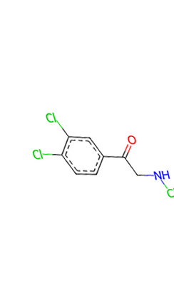 O=C(CNCl)c1ccc(Cl)c(Cl)c1